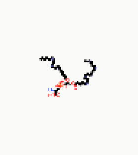 CC/C=C\C/C=C\C/C=C\C/C=C\C/C=C\CCCC(=O)OC[C@H](COP(=O)(O)OC[C@H](N)C(=O)O)OC(=O)CCCC/C=C\C/C=C\C/C=C\CCCCC